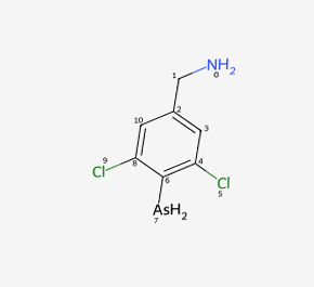 NCc1cc(Cl)c([AsH2])c(Cl)c1